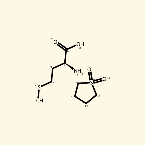 CSCC[C@H](N)C(=O)O.O=S1(=O)CCCC1